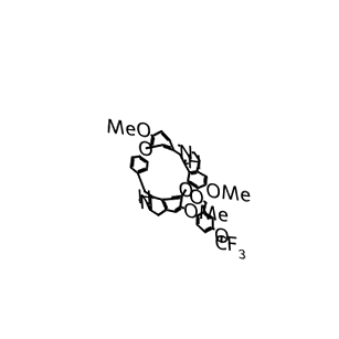 COc1ccc2cc1Oc1ccc(cc1)C[C@H]1c3cc(c(OC)cc3CCN1C)Oc1c(OCc3cccc(OC(F)(F)F)c3)c(OC)cc3c1[C@H](C2)N(C)CC3